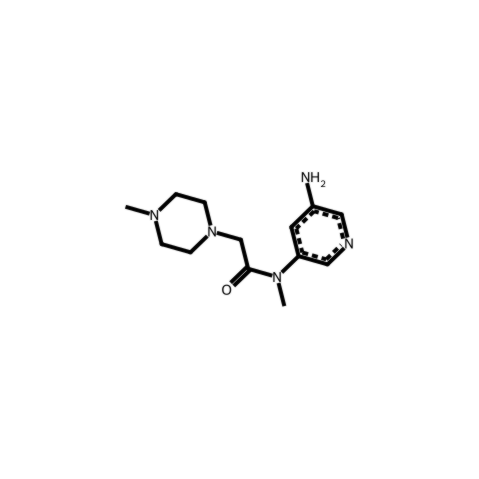 CN1CCN(CC(=O)N(C)c2cncc(N)c2)CC1